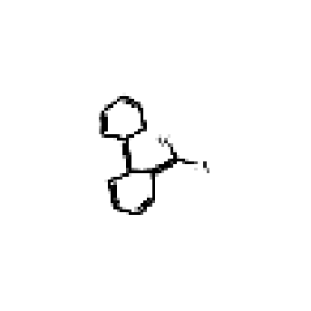 CC(C)=c1ccc[c]c1=C1[CH]C=CC=C1